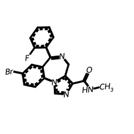 CNC(=O)c1ncn2c1CN=C(c1ccccc1F)c1cc(Br)ccc1-2